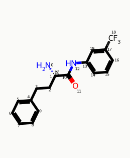 N[C@@H](CCc1ccccc1)C(=O)Nc1cccc(C(F)(F)F)c1